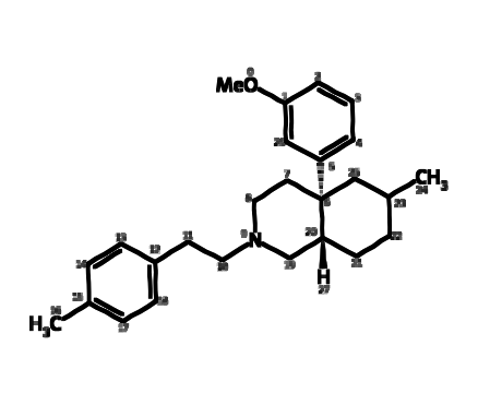 COc1cccc([C@@]23CCN(CCc4ccc(C)cc4)C[C@H]2CCC(C)C3)c1